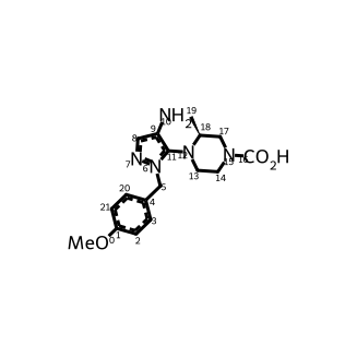 COc1ccc(Cn2ncc(N)c2N2CCN(C(=O)O)C[C@@H]2C)cc1